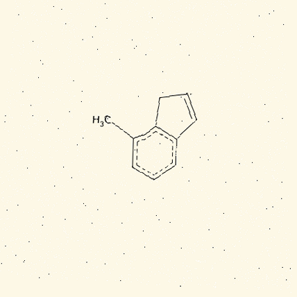 Cc1cccc2c1C[C]=C2